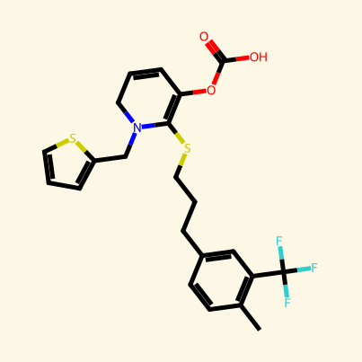 Cc1ccc(CCCSC2=C(OC(=O)O)C=CCN2Cc2cccs2)cc1C(F)(F)F